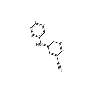 [C]#CC1=[C]C(=[SiH]c2ccccc2)CC=C1